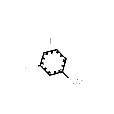 [B+2]c1cccc(NC)c1.[OH-].[OH-]